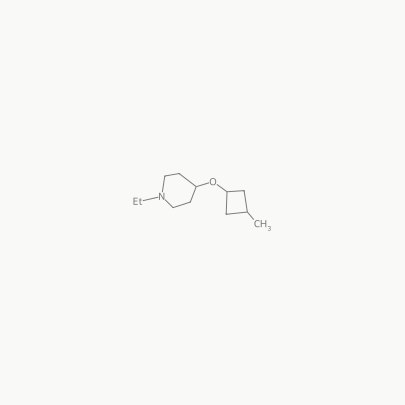 CCN1CCC(OC2CC(C)C2)CC1